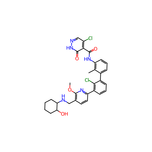 COc1nc(-c2cccc(-c3cccc(NC(=O)c4c(Cl)cn[nH]c4=O)c3C)c2Cl)ccc1CNC1CCCCC1O